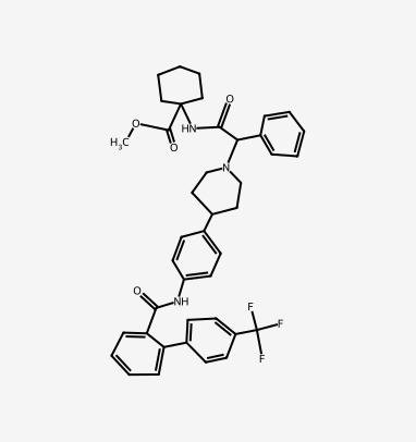 COC(=O)C1(NC(=O)C(c2ccccc2)N2CCC(c3ccc(NC(=O)c4ccccc4-c4ccc(C(F)(F)F)cc4)cc3)CC2)CCCCC1